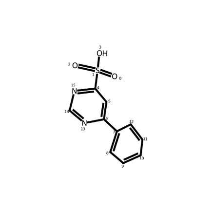 O=S(=O)(O)c1cc(-c2ccccc2)ncn1